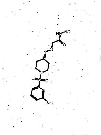 CCNC(=O)CON=C1CCN(S(=O)(=O)c2cccc(C(F)(F)F)c2)CC1